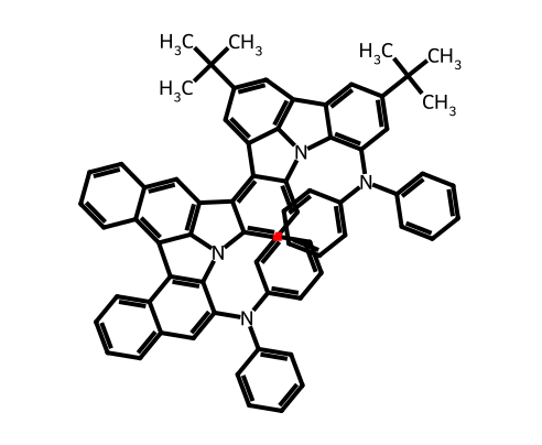 CC(C)(C)c1cc(N(c2ccccc2)c2ccccc2)c2c(c1)c1cc(C(C)(C)C)cc3c4c5c6cc7ccccc7c7c8c9ccccc9cc(N(c9ccccc9)c9ccccc9)c8n(c5ccc4n2c13)c67